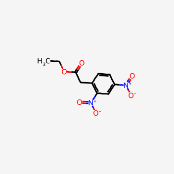 CCOC(=O)Cc1ccc([N+](=O)[O-])cc1[N+](=O)[O-]